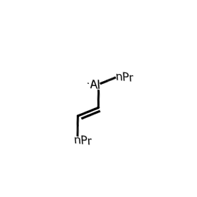 CCCC=[CH][Al][CH2]CC